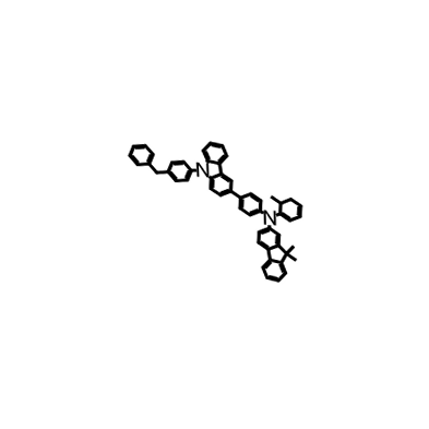 CC1CC=CC=C1N(c1ccc(-c2ccc3c(c2)c2ccccc2n3-c2ccc(Cc3ccccc3)cc2)cc1)c1ccc2c(c1)C(C)(C)c1ccccc1-2